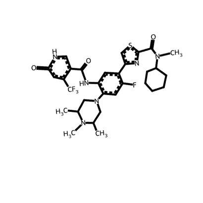 CC1CN(c2cc(F)c(-c3csc(C(=O)N(C)C4CCCCC4)n3)cc2NC(=O)c2c[nH]c(=O)cc2C(F)(F)F)CC(C)N1C